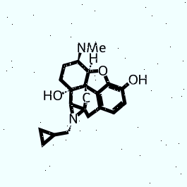 CN[C@@H]1CC[C@]2(O)C3[N@@](CC4CC4)C34Cc3ccc(O)c5c3[C@]2(C4)[C@@H]1O5